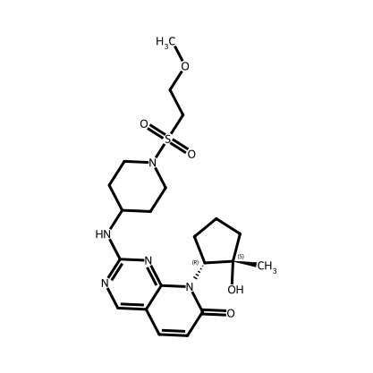 COCCS(=O)(=O)N1CCC(Nc2ncc3ccc(=O)n([C@@H]4CCC[C@]4(C)O)c3n2)CC1